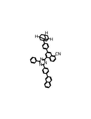 N#Cc1cccc2c(-c3nc(-c4ccccc4)nc(-c4ccc(-c5ccc6ccccc6c5)cc4)n3)cc(-c3ccc(C45C[C@H]6C[C@@H](C4)C[C@@H](C5)C6)cc3)cc12